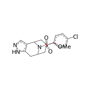 COCC1CC2Cc3[nH]ncc3C(C1)N2S(=O)(=O)c1ccc(Cl)cc1